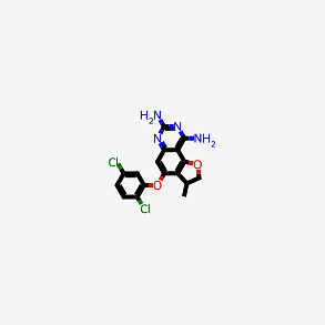 CC1COc2c1c(Oc1cc(Cl)ccc1Cl)cc1nc(N)nc(N)c21